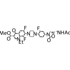 CCn1cc(C(=O)OC)c(=O)c2cc(F)c(N3CCN(c4ccc(N5C[C@H](CNC(C)=O)OC5=O)cc4F)CC3)c(F)c21